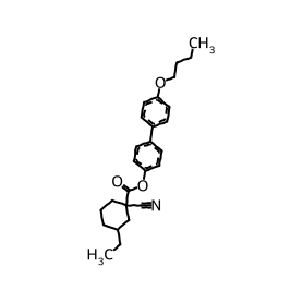 CCCCOc1ccc(-c2ccc(OC(=O)C3(C#N)CCCC(CC)C3)cc2)cc1